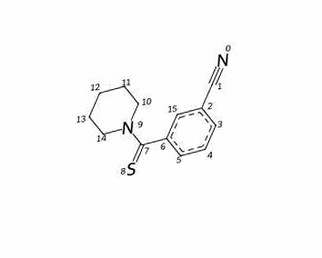 N#Cc1cccc(C(=S)N2CCCCC2)c1